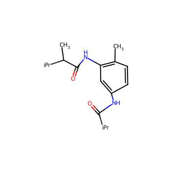 Cc1ccc(NC(=O)C(C)C)cc1NC(=O)C(C)C(C)C